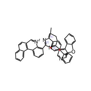 C\C1=C(c2ccc(-c3ccccc3)cc2)/N=C(c2cccc3c4c(ccc5ccccc54)c[n+](C)c23)\N=C(\c2cncc3oc4ccccc4c23)CC1